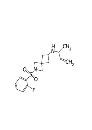 C=CC(C)NC1CC2(C1)CN(S(=O)(=O)c1ccccc1F)C2